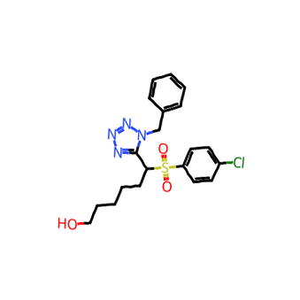 O=S(=O)(c1ccc(Cl)cc1)C(CCCCCO)c1nnnn1Cc1ccccc1